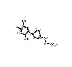 Cc1[nH]c(=O)c(C#N)cc1-c1ccc(OCC(=O)O)cc1